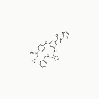 CC(=O)N(CC1CC1)c1ccc(Oc2cc(OCC3(COCc4ccccc4)CCC3)cc(C(=O)Nc3nccs3)c2)cc1